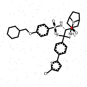 NC1CC2CCC(C1)N2C(=O)[C@@H](NS(=O)(=O)c1ccc(OCC2CCCCC2)cc1)C(F)(F)c1ccc(-c2ccc(Cl)s2)cc1